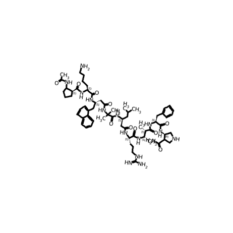 CC(=O)NC1CCC[C@@H]1C(=O)N[C@@H](CCCCN)C(=O)N[C@H](CC(=O)NC(C)(C)C(=O)N[C@H](CC(=O)N[C@@H](CCCNC(=N)N)C(=O)N[C@@H](C)[C@H](C)C(=O)N[C@@H](Cc1ccccc1)C(=O)N[C@H]1CNCC1C(N)=O)CC(C)C)Cc1cccc2ccccc12